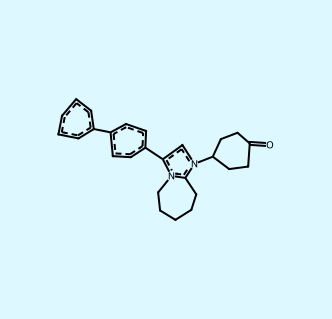 O=C1CCC(n2cc(-c3ccc(-c4ccccc4)cc3)[n+]3c2CCCCC3)CC1